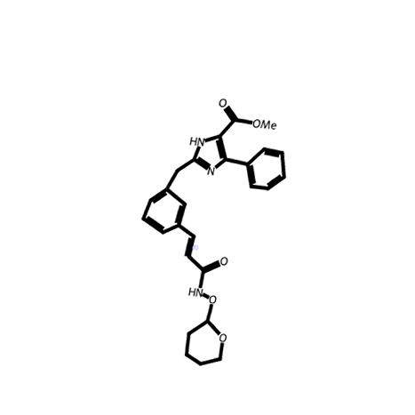 COC(=O)c1[nH]c(Cc2cccc(/C=C/C(=O)NOC3CCCCO3)c2)nc1-c1ccccc1